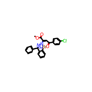 COC(=O)C(=CC(=O)c1ccc(Cl)cc1)NN=C(c1ccccc1)c1ccccc1Br